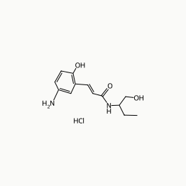 CCC(CO)NC(=O)C=Cc1cc(N)ccc1O.Cl